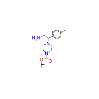 Cc1ccc(C(CN)N2CCN(C(=O)OC(C)(C)C)CC2)cc1